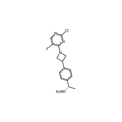 CC(=O)N[C@@H](C)c1ccc(C2CN(c3nc(Cl)ncc3F)C2)cc1